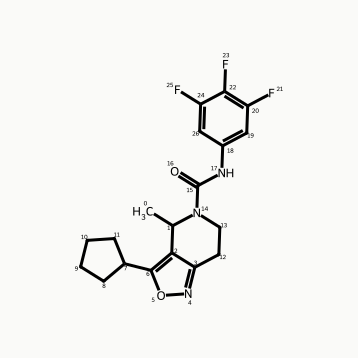 CC1c2c(noc2C2CCCC2)CCN1C(=O)Nc1cc(F)c(F)c(F)c1